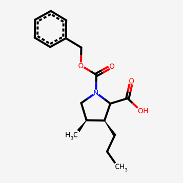 CCC[C@@H]1C(C(=O)O)N(C(=O)OCc2ccccc2)C[C@@H]1C